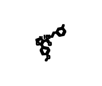 COc1ccc(-c2ocnc2C(=O)NCCc2cccc(C)c2)cc1